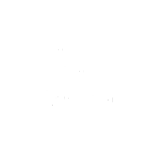 CS(=O)(=O)c1ccc(C(=O)O)c(Oc2ccc(Cl)cc2)c1